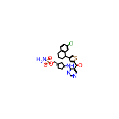 NS(=O)(=O)OC[C@@H]1CC[C@H](Nc2ncncc2C(=O)c2cc(C3CCCc4ccc(Cl)cc43)cs2)C1